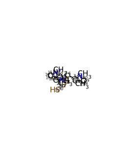 CN1/C(=C/C=C2\CCC(/C=C/C3=[N+](C)c4ccccc4C3(C)C)=C2SC2=NC=C=C(CS)S2)C(C)(C)c2ccccc21